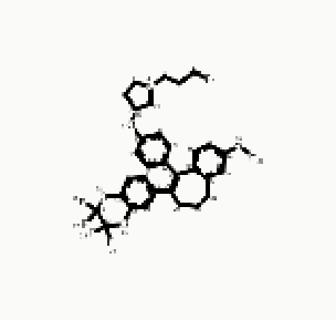 FCCCN1CC[C@H](Oc2ccc(C3=C(c4ccc5c(c4)OC(F)(F)C(F)(F)O5)CCCc4cc(OF)ccc43)cc2)C1